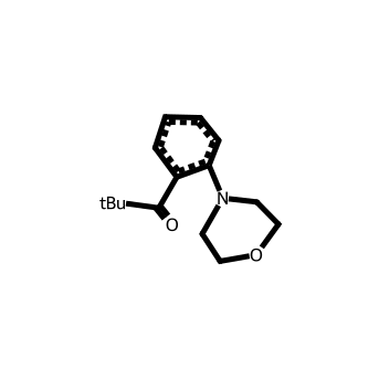 CC(C)(C)C(=O)c1ccccc1N1CCOCC1